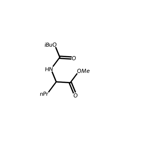 CCCC(NC(=O)OCC(C)C)C(=O)OC